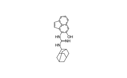 N=C(Nc1c(O)cc2cccc3c2c1C=C3)NC1C2CC3CC(C2)CC1C3